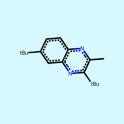 Cc1nc2ccc(C(C)(C)C)cc2nc1C(C)(C)C